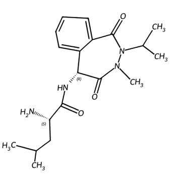 CC(C)C[C@H](N)C(=O)N[C@H]1C(=O)N(C)N(C(C)C)C(=O)c2ccccc21